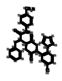 O=C(O)c1ccc(NC(=O)C(Cc2ccccc2)N2CC(=O)N(c3cc(Cl)ccc3-n3cnnn3)CC2=O)cc1